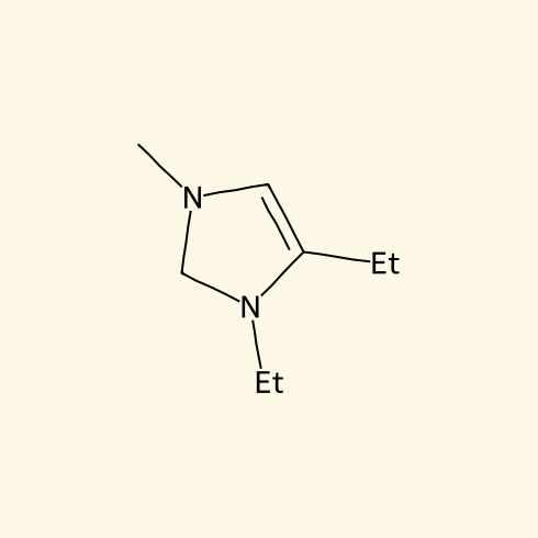 CCC1=CN(C)CN1CC